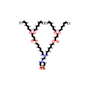 CC/C=C\CCCCOC(CCC(=O)OCCCCCCCN(CCCCCCCOC(=O)CCC(OCCCC/C=C\CC)OCCCC/C=C\CC)CCN1CCS(=O)(=O)CC1)OCCCC/C=C\CC